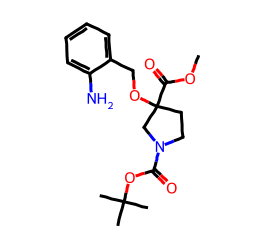 COC(=O)C1(OCc2ccccc2N)CCN(C(=O)OC(C)(C)C)C1